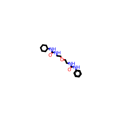 O=C(NCCOCCNC(=O)NC1CCCCC1)Nc1ccccc1